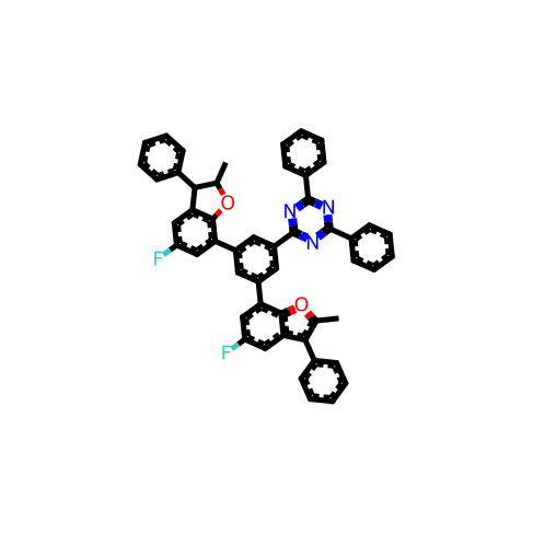 Cc1oc2c(-c3cc(-c4nc(-c5ccccc5)nc(-c5ccccc5)n4)cc(-c4cc(F)cc5c4OC(C)C5c4ccccc4)c3)cc(F)cc2c1-c1ccccc1